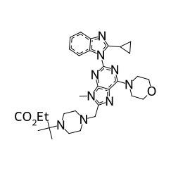 CCOC(=O)C(C)(C)N1CCN(Cc2nc3c(N4CCOCC4)nc(-n4c(C5CC5)nc5ccccc54)nc3n2C)CC1